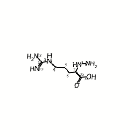 N=C(N)NCCCC(NN)C(=O)O